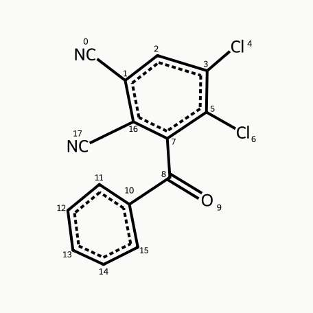 N#Cc1cc(Cl)c(Cl)c(C(=O)c2ccccc2)c1C#N